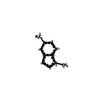 Cc1cnc2c(ccn2C)c1